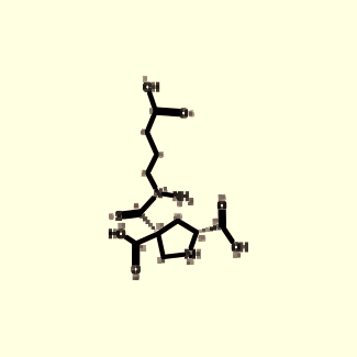 NN(CCCC(=O)O)C(=S)[C@@]1(C(=O)O)CN[C@@H](C(=O)O)C1